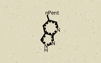 CCCCCc1cnc2n[nH]cc2c1